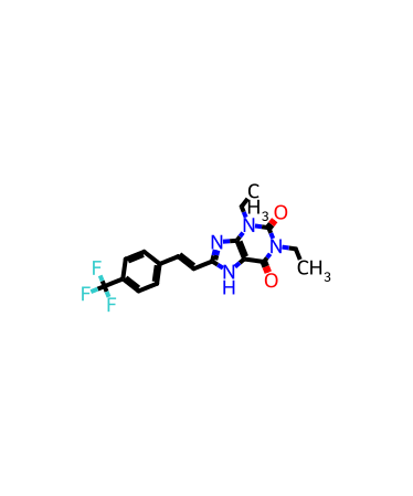 CCn1c(=O)c2[nH]c(/C=C/c3ccc(C(F)(F)F)cc3)nc2n(CC)c1=O